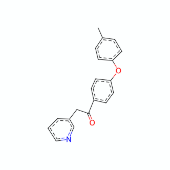 Cc1ccc(Oc2ccc(C(=O)Cc3cccnc3)cc2)cc1